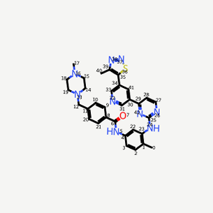 Cc1ccc(NC(=O)c2ccc(CN3CCN(C)CC3)cc2)cc1Nc1nccc(-c2cncc(-c3snnc3C)c2)n1